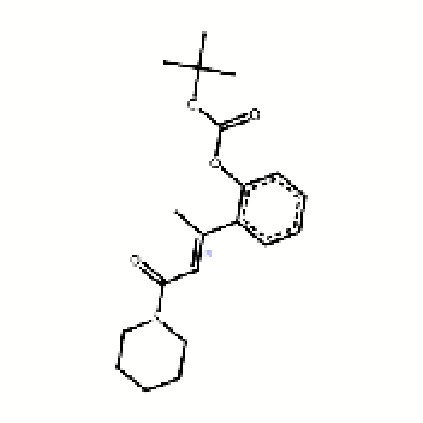 C/C(=C\C(=O)N1CCCCC1)c1ccccc1OC(=O)OC(C)(C)C